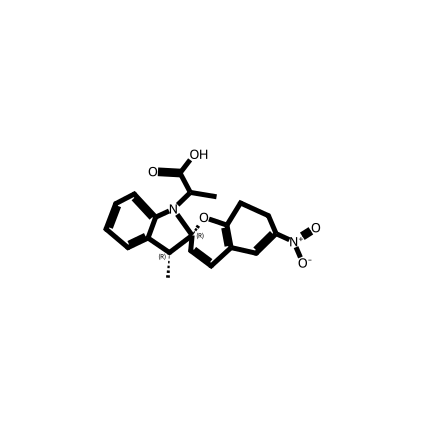 CC(C(=O)O)N1c2ccccc2[C@@H](C)[C@]12C=CC1=C(CCC([N+](=O)[O-])=C1)O2